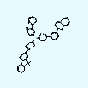 CC1(C)C2=C(C=CCC2)c2ccc(-c3ccc(N(c4ccc(-c5cccc(C6=CC=C7C=CC=CC7C6)c5)cc4)c4ccc5oc6ccccc6c5c4)cc3)cc21